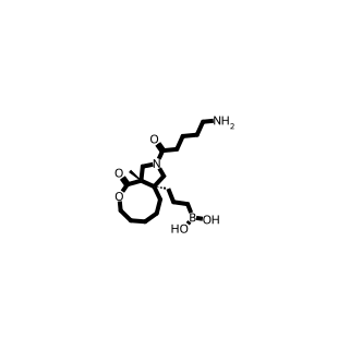 C[C@@]12CN(C(=O)CCCCN)C[C@@]1(CCCB(O)O)CCCCCOC2=O